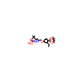 CCc1cc(OCCCC(NC(=O)O)C(C)(C)C)ccc1B1OC(C)(C)C(C)(C)O1